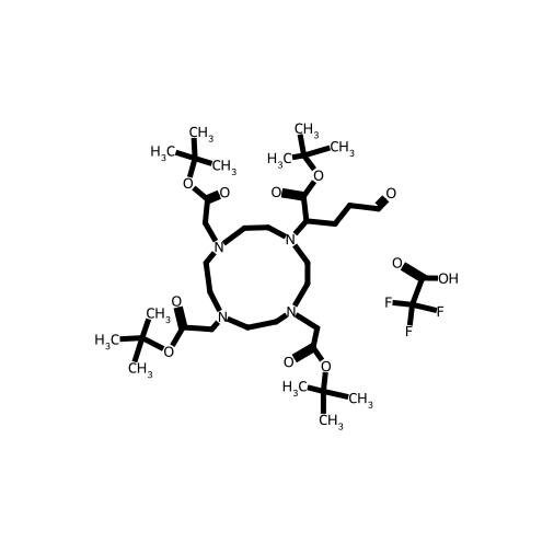 CC(C)(C)OC(=O)CN1CCN(CC(=O)OC(C)(C)C)CCN(C(CCC=O)C(=O)OC(C)(C)C)CCN(CC(=O)OC(C)(C)C)CC1.O=C(O)C(F)(F)F